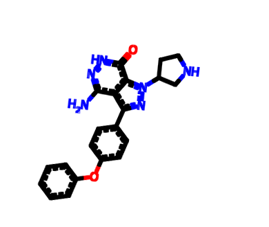 Nc1n[nH]c(=O)c2c1c(-c1ccc(Oc3ccccc3)cc1)nn2C1CCNC1